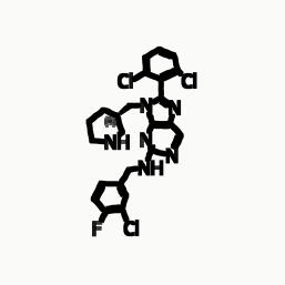 Fc1ccc(CNc2ncc3nc(-c4c(Cl)cccc4Cl)n(C[C@@H]4CCCNC4)c3n2)cc1Cl